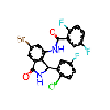 O=C(Nc1cc(Br)cc2c1C(c1cc(F)ccc1Cl)NC2=O)c1cc(F)ccc1F